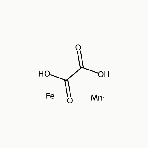 O=C(O)C(=O)O.[Fe].[Mn]